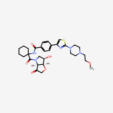 COCCN1CCN(c2nc(-c3ccc(C(=O)NC4(C(=O)N5C[C@@H](O)[C@H]6OCC(=O)[C@H]65)CCCCC4)cc3)cs2)CC1